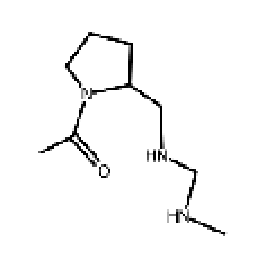 CNCNCC1CCCN1C(C)=O